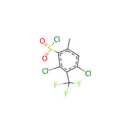 Cc1cc(Cl)c(C(F)(F)F)c(Cl)c1S(=O)(=O)Cl